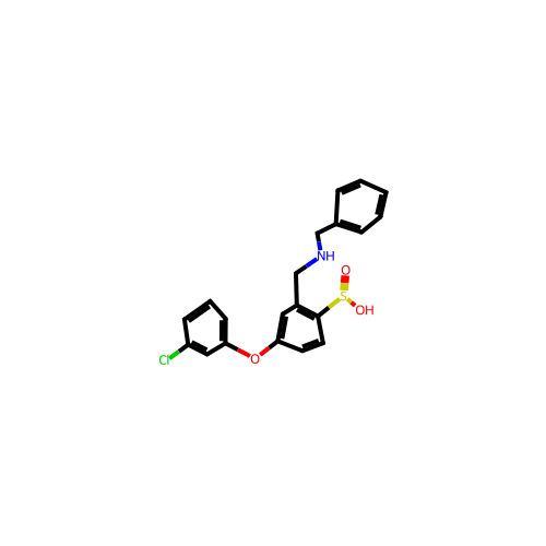 O=S(O)c1ccc(Oc2cccc(Cl)c2)cc1CNCc1ccccc1